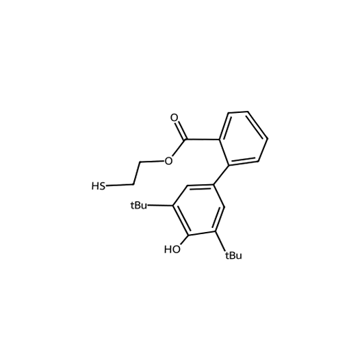 CC(C)(C)c1cc(-c2ccccc2C(=O)OCCS)cc(C(C)(C)C)c1O